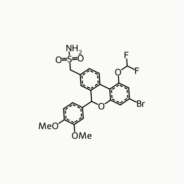 COc1ccc(C2Oc3cc(Br)cc(OC(F)F)c3-c3ccc(CS(N)(=O)=O)cc32)cc1OC